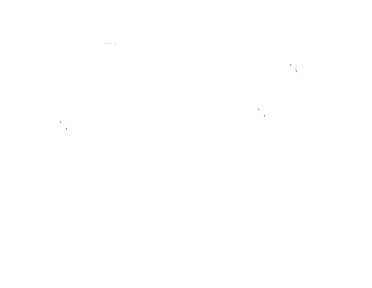 CNCCC(c1ccccc1)c1cnc2c(ccn2C)c1.Cl